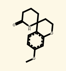 COc1ccc2c(c1)OCCC21CCCC(=O)N1